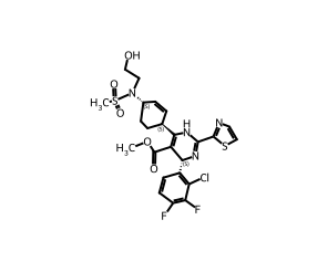 COC(=O)C1=C([C@@H]2C=C[C@@H](N(CCO)S(C)(=O)=O)CC2)NC(c2nccs2)=N[C@@H]1c1ccc(F)c(F)c1Cl